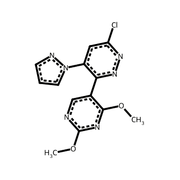 COc1ncc(-c2nnc(Cl)cc2-n2cccn2)c(OC)n1